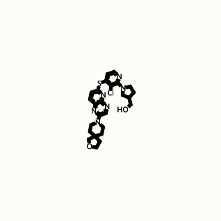 OCC1CCN(c2nccc(Sc3ccc4nc(N5CCC6(CCOC6)CC5)cnc4n3)c2Cl)C1